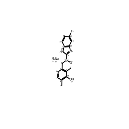 Cc1cnc(C[S+]([O-])c2nc3cc(F)ccc3[nH]2)c(C)c1O.[Na].[Na]